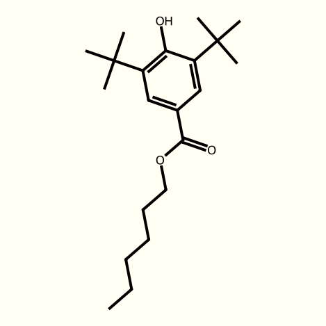 CCCCCCOC(=O)c1cc(C(C)(C)C)c(O)c(C(C)(C)C)c1